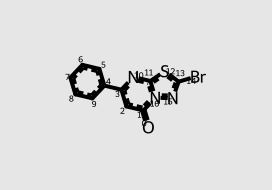 O=c1cc(-c2ccccc2)nc2sc(Br)nn12